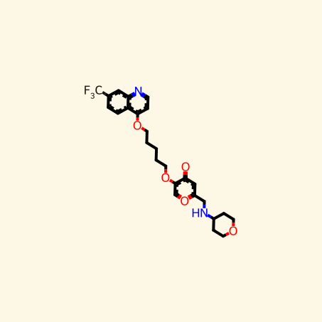 O=c1cc(CNC2CCOCC2)occ1OCCCCCOc1ccnc2cc(C(F)(F)F)ccc12